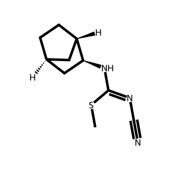 CSC(=NC#N)N[C@H]1C[C@H]2CC[C@H]1C2